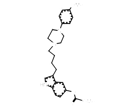 COC(=O)Oc1ccc2[nH]cc(CCCCN3CCN(c4ccc(OC)cc4)CC3)c2c1